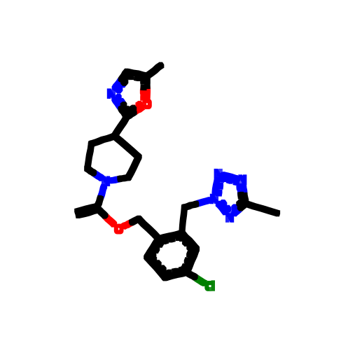 C=C(OCc1ccc(Cl)cc1Cn1nnc(C)n1)N1CCC(c2ncc(C)o2)CC1